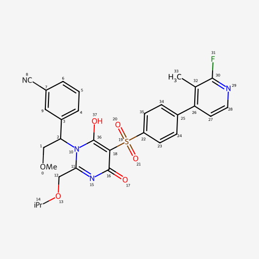 COCC(c1cccc(C#N)c1)n1c(COC(C)C)nc(=O)c(S(=O)(=O)c2ccc(-c3ccnc(F)c3C)cc2)c1O